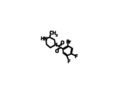 CC1CN(S(=O)(=O)c2cc(F)c(F)cc2Br)CCN1